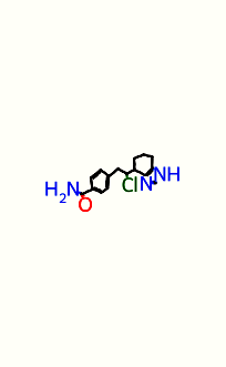 NC(=O)c1ccc(CC(Cl)C2CCCc3[nH]cnc32)cc1